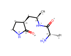 CCC[C@H](N)C(=O)N[C@H](C#N)C[C@@H]1CCNC1=O